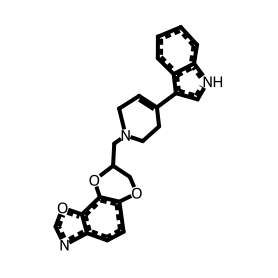 C1=C(c2c[nH]c3ccccc23)CCN(CC2COc3ccc4ncoc4c3O2)C1